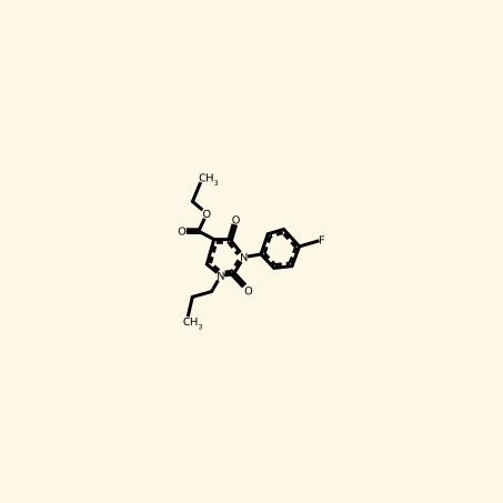 CCCn1cc(C(=O)OCC)c(=O)n(-c2ccc(F)cc2)c1=O